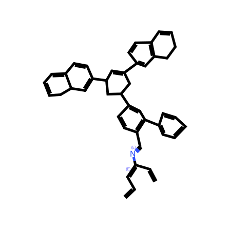 C=C/C=C(C=C)/N=C/c1ccc(C2CC(c3ccc4c(c3)CCC=C4)=CC(C3=CC4CC=CC=C4C=C3)C2)cc1-c1ccccc1